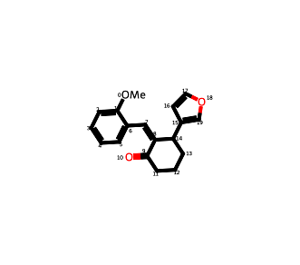 COc1ccccc1C=C1C(=O)CCCC1c1ccoc1